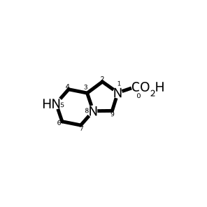 O=C(O)N1CC2CNCCN2C1